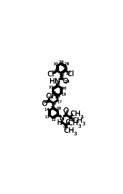 CC(C)CN(C(=O)C(C)(C)C)c1cccc(C(Cc2ccc(NC(=O)c3c(Cl)cccc3Cl)cc2)C(=O)O)c1